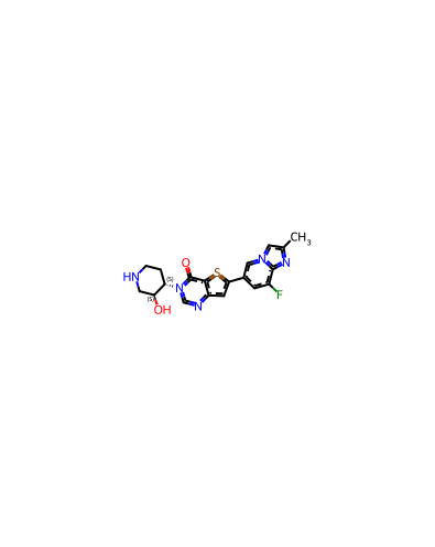 Cc1cn2cc(-c3cc4ncn([C@H]5CCNC[C@@H]5O)c(=O)c4s3)cc(F)c2n1